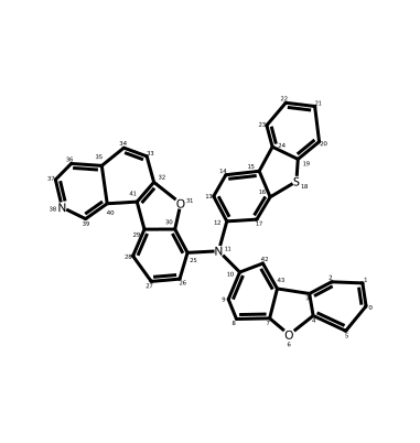 c1ccc2c(c1)oc1ccc(N(c3ccc4c(c3)sc3ccccc34)c3cccc4c3oc3ccc5ccncc5c34)cc12